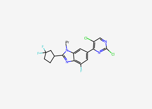 CC(C)n1c(C2CCC(F)(F)C2)nc2c(F)cc(-c3nc(Cl)ncc3Cl)cc21